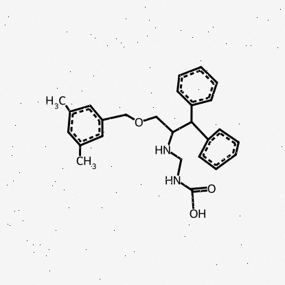 Cc1cc(C)cc(COCC(NCNC(=O)O)C(c2ccccc2)c2ccccc2)c1